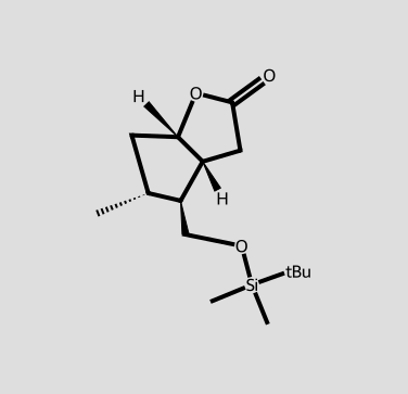 C[C@@H]1C[C@@H]2OC(=O)C[C@@H]2[C@H]1CO[Si](C)(C)C(C)(C)C